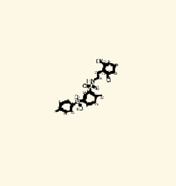 Cc1ccc(S(=O)(=O)c2ccc(C)c(S(=O)(=O)NCCc3c(Cl)cccc3Cl)c2)cc1